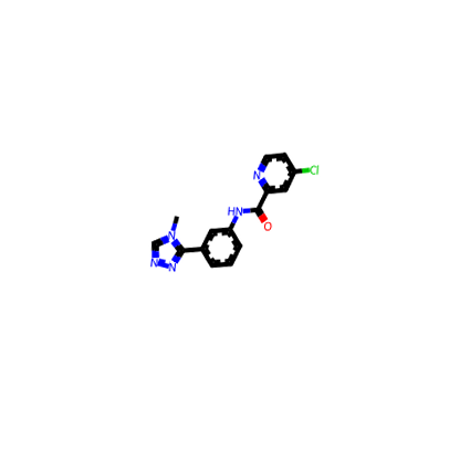 Cn1cnnc1-c1cccc(NC(=O)c2cc(Cl)ccn2)c1